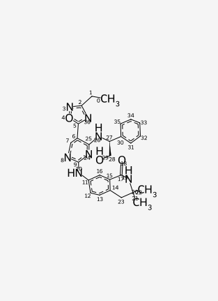 CCc1noc(-c2cnc(Nc3ccc4c(c3)C(=O)NC(C)(C)C4)nc2N[C@H](CO)c2ccccc2)n1